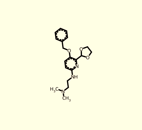 CN(C)CCNc1ccc(OCc2ccccc2)c(C2OCCO2)n1